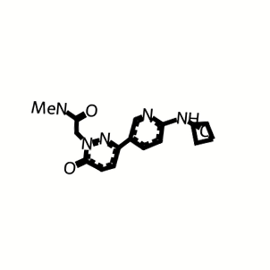 CNC(=O)Cn1nc(-c2ccc(NC34CC(C3)C4)nc2)ccc1=O